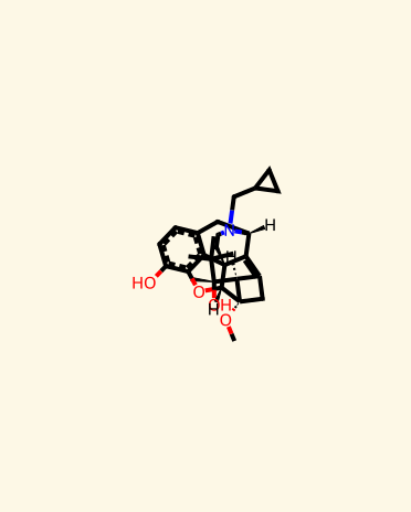 CO[C@]12CC(=C3[C@H]4Cc5ccc(O)c6c5[C@@]3(CCN4CC3CC3)[C@H]1O6)[C@@H]2[C@](C)(O)C(C)(C)C